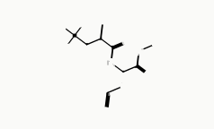 C=CC[C@H](NC(=O)C(C)CC(F)(F)F)C(=O)OC